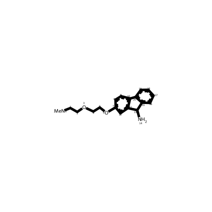 CNCCOCCOc1ccc2c(c1)C(N)c1ccccc1-2